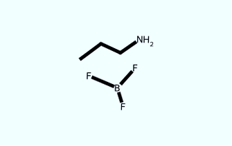 CCCN.FB(F)F